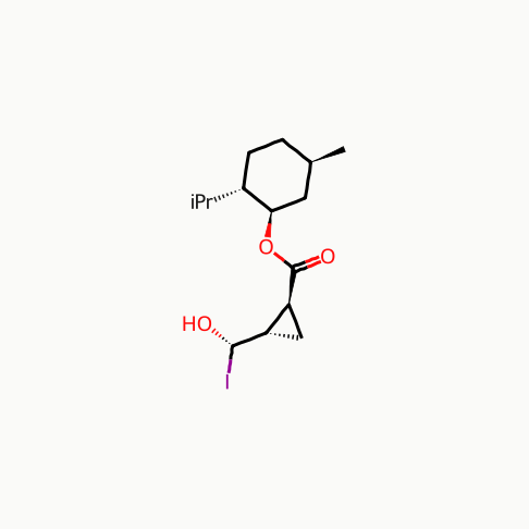 CC(C)[C@@H]1CC[C@@H](C)C[C@H]1OC(=O)[C@H]1C[C@@H]1[C@@H](O)I